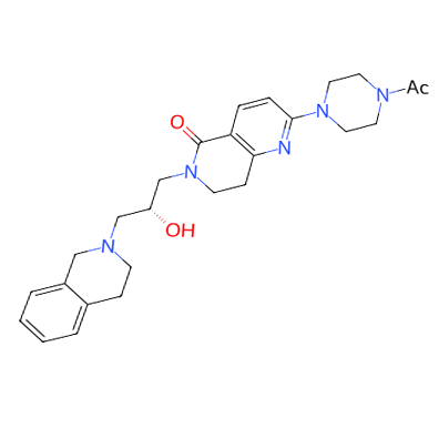 CC(=O)N1CCN(c2ccc3c(n2)CCN(C[C@H](O)CN2CCc4ccccc4C2)C3=O)CC1